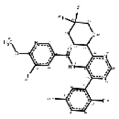 COc1ncc(C(=O)Nc2c(-c3cc(F)ccc3F)ncnc2C2CCC(F)(F)CO2)cc1F